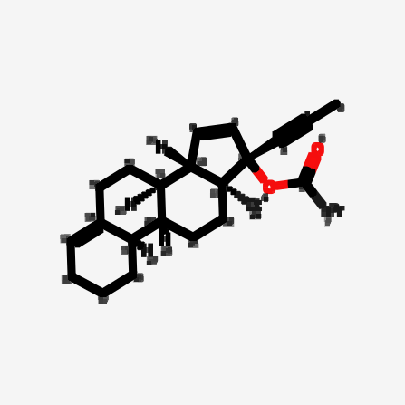 CC#C[C@]1(OC(=O)CCC)C=C[C@H]2[C@@H]3CCC4=CCCC[C@@H]4[C@H]3CC[C@@]21CC